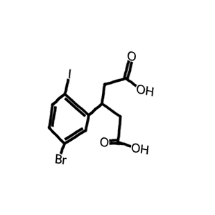 O=C(O)CC(CC(=O)O)c1cc(Br)ccc1I